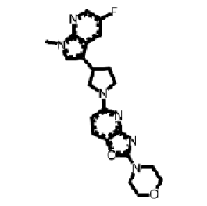 Cn1cc(C2CCN(c3ccc4oc(N5CCOCC5)nc4n3)C2)c2cc(F)cnc21